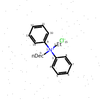 CCCCCCCCCC[N+](CC)(c1ccccc1)c1ccccc1.[Cl-]